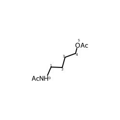 CC(=O)NCCCCOC(C)=O